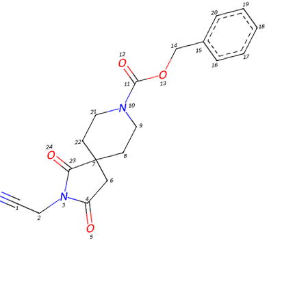 N#CCN1C(=O)CC2(CCN(C(=O)OCc3ccccc3)CC2)C1=O